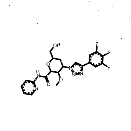 COC1C(C(=O)Nc2ccccn2)OC(CO)CC1n1cc(-c2cc(F)c(F)c(F)c2)nn1